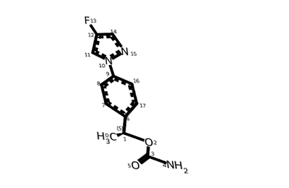 C[C@H](OC(N)=O)c1ccc(-n2cc(F)cn2)cc1